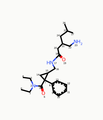 CCN(CC)C(=O)C1(c2ccccc2)CC1CNC(=O)CC(CN)CC(C)C